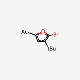 CC(=O)c1cc(C(C)(C)C)c(Br)o1